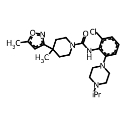 Cc1cc(C2(C)CCN(C(=O)Nc3c(Cl)cccc3N3CCN(C(C)C)CC3)CC2)no1